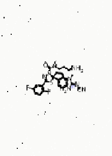 CN(CCCN)C(=O)N1N=C(c2cc(F)ccc2F)SC1(CCCN(C)/C(N)=N/C#N)c1ccccc1